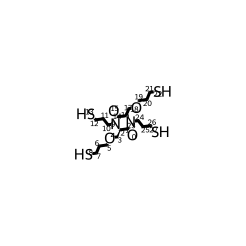 O=C1[C@@H](COCCCS)N(CCCS)C(=O)C(COCCCS)N1CCCS